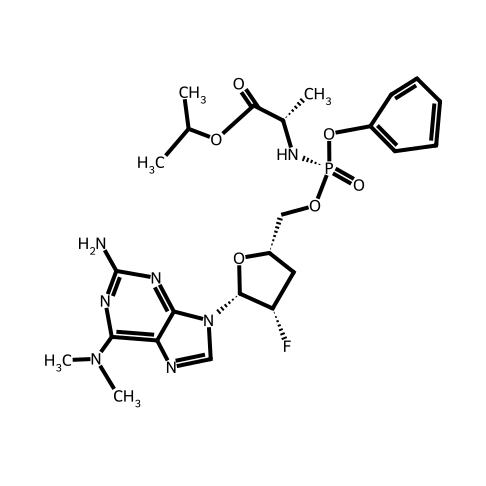 CC(C)OC(=O)[C@H](C)N[P@](=O)(OC[C@@H]1C[C@H](F)[C@H](n2cnc3c(N(C)C)nc(N)nc32)O1)Oc1ccccc1